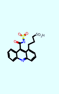 O=C(N=S(=O)=O)c1c2ccccc2nc2cccc(CCCS(=O)(=O)O)c12